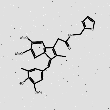 COc1cc2c(cc1OC)/C(=C\c1cc(C)c(O)c(OC)c1)C(C)=C2CC(=O)NCc1ccco1